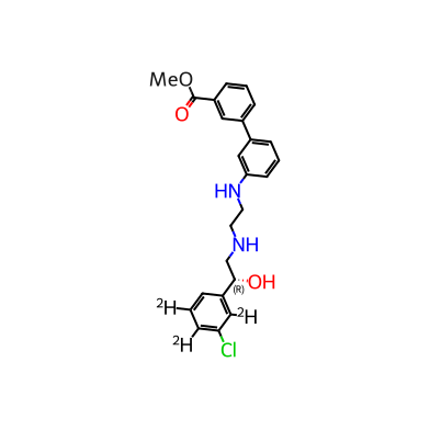 [2H]c1cc([C@@H](O)CNCCNc2cccc(-c3cccc(C(=O)OC)c3)c2)c([2H])c(Cl)c1[2H]